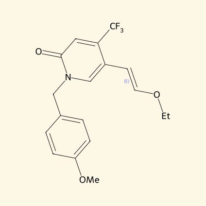 CCO/C=C/c1cn(Cc2ccc(OC)cc2)c(=O)cc1C(F)(F)F